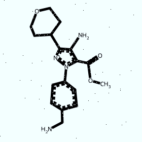 COC(=O)c1c(N)c(C2CCOCC2)nn1-c1ccc(CN)cc1